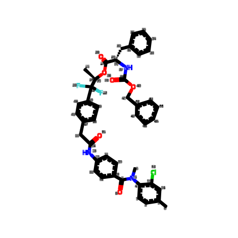 Cc1ccc(N(C)C(=O)c2ccc(NC(=O)Cc3ccc(C(F)(F)[C@@H](C)OC(=O)[C@H](Cc4ccccc4)NC(=O)OCc4ccccc4)cc3)cc2)c(Cl)c1